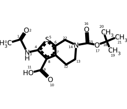 CC(=O)Nc1sc2c(c1C(=O)O)CCN(C(=O)OC(C)(C)C)C2